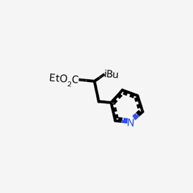 CCOC(=O)C(Cc1cccnc1)C(C)CC